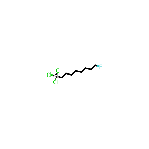 FCCCCCCCC[Si](Cl)(Cl)Cl